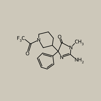 CN1C(=O)C(c2ccccc2)(C2CCCN(C(=O)C(F)(F)F)C2)N=C1N